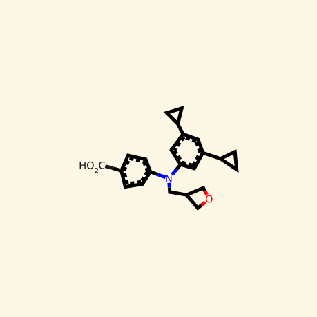 O=C(O)c1ccc(N(CC2COC2)c2cc(C3CC3)cc(C3CC3)c2)cc1